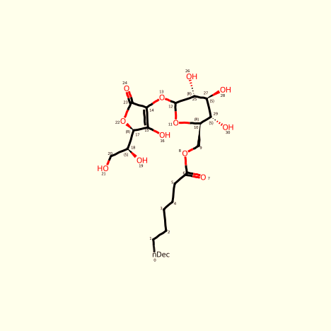 CCCCCCCCCCCCCCCC(=O)OC[C@H]1OC(OC2=C(O)[C@@H]([C@@H](O)CO)OC2=O)[C@H](O)[C@@H](O)[C@@H]1O